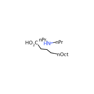 CCCCCCCCCCCC(=O)O.CCCNCCC